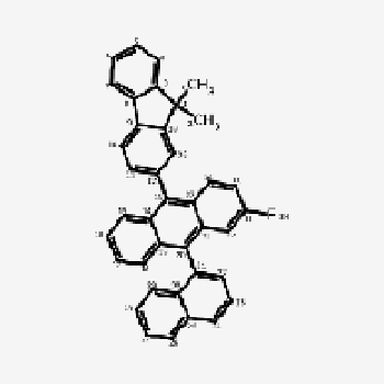 CC1(C)c2ccccc2-c2ccc(-c3c4ccccc4c(-c4cccc5ccccc45)c4cc(F)ccc34)cc21